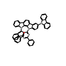 c1ccc(-c2nc(-c3ccccc3)nc(-n3c4ccc(-n5c6ccccc6c6ccccc65)cc4c4ccc5c6ccccc6n(-c6ccc7ccccc7c6)c5c43)n2)cc1